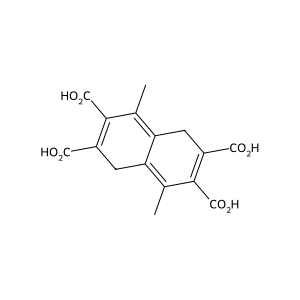 CC1=C2CC(C(=O)O)=C(C(=O)O)C(C)=C2CC(C(=O)O)=C1C(=O)O